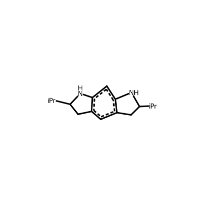 CC(C)C1Cc2cc3c(cc2N1)NC(C(C)C)C3